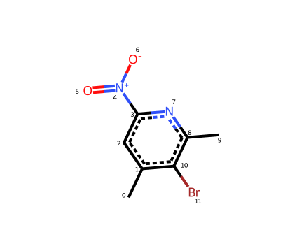 Cc1cc([N+](=O)[O-])nc(C)c1Br